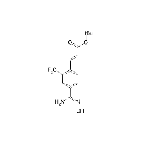 CC(C)(C)OC(=O)/C=C/c1ccc(/C(N)=N/O)cc1C(F)(F)F